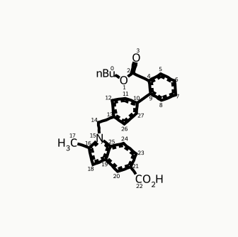 CCCCOC(=O)c1ccccc1-c1ccc(Cn2c(C)cc3cc(C(=O)O)ccc32)cc1